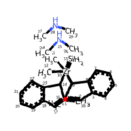 CC1=Cc2ccccc2[CH]1[Zr]([CH3])([CH3])(=[SiH2])[CH]1C(C)=Cc2ccccc21.CNC.CNC